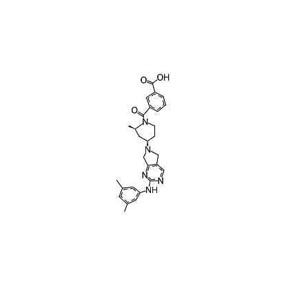 Cc1cc(C)cc(Nc2ncc3c(n2)CN([C@@H]2CCN(C(=O)c4cccc(C(=O)O)c4)[C@H](C)C2)C3)c1